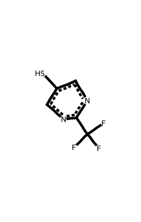 FC(F)(F)c1ncc(S)cn1